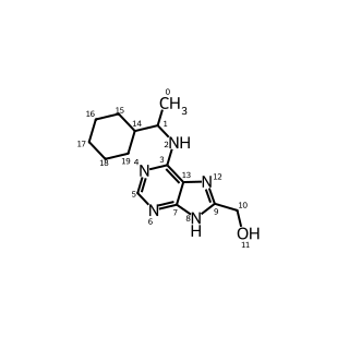 CC(Nc1ncnc2[nH]c(CO)nc12)C1CCCCC1